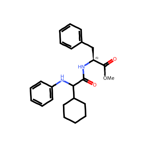 COC(=O)[C@H](Cc1ccccc1)NC(=O)C(Nc1ccccc1)C1CCCCC1